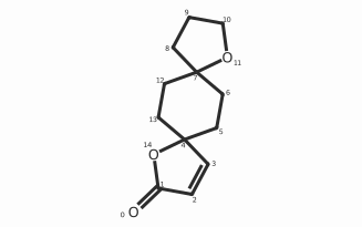 O=C1C=CC2(CCC3(CCCO3)CC2)O1